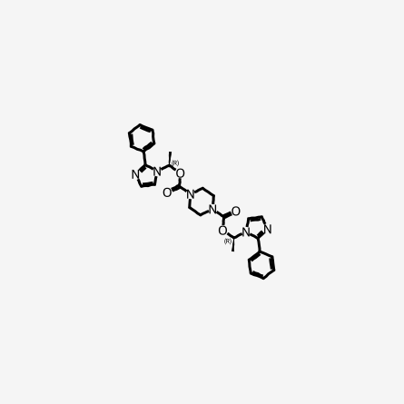 C[C@@H](OC(=O)N1CCN(C(=O)O[C@H](C)n2ccnc2-c2ccccc2)CC1)n1ccnc1-c1ccccc1